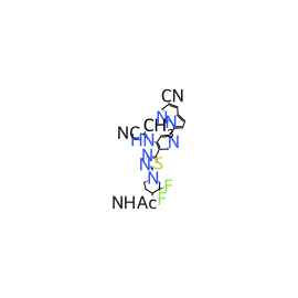 CC(=O)N[C@H]1CCN(c2nnc(-c3cnc(-c4ccc5cc(C#N)cnn45)cc3NC(C)C#N)s2)CC1(F)F